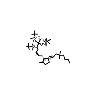 C=C1CC[C@H](/C=C/CC(C)(C)CCCC)[C@H]1C/C=C\CC(C(O[Si](C)(C)C(C)(C)C)(O[Si](C)(C)C(C)(C)C)C(=O)O)[Si](C)(C)C(C)(C)C